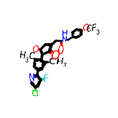 Cc1cc(-c2ncc(Cl)cc2F)cc(C)c1C1C(=O)CC(CC(=O)NCc2ccc(OC(F)(F)F)cc2)C1=O